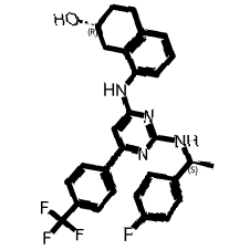 C[C@H](Nc1nc(Nc2cccc3c2C[C@H](O)CC3)cc(-c2ccc(C(F)(F)F)cc2)n1)c1ccc(F)cc1